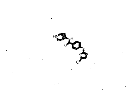 O=C(NC1CC2CC1CN2)c1ccc(Sc2ccc(Cl)s2)cc1